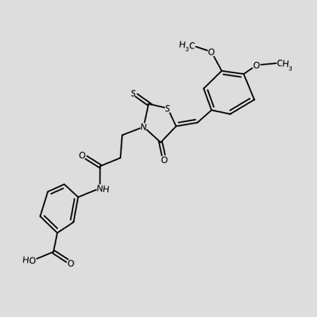 COc1ccc(/C=C2\SC(=S)N(CCC(=O)Nc3cccc(C(=O)O)c3)C2=O)cc1OC